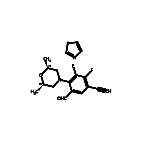 C#Cc1cc(C=O)c(N2C[C@@H](C)O[C@@H](C)C2)c(F)c1F.c1cscn1